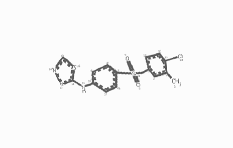 Cc1cc(S(=O)(=O)c2ccc(Nc3nncs3)cc2)ccc1Cl